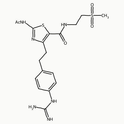 CC(=O)Nc1nc(CCc2ccc(NC(=N)N)cc2)c(C(=O)NCCS(C)(=O)=O)s1